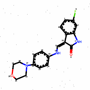 O=C1Nc2cc(F)ccc2C1=CNc1ccc(N2CCOCC2)cc1